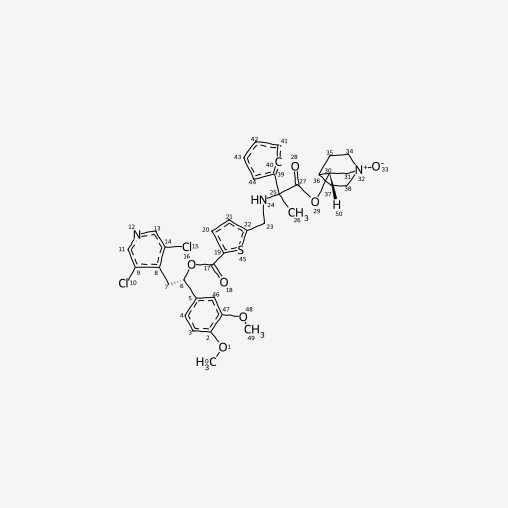 COc1ccc([C@H](Cc2c(Cl)cncc2Cl)OC(=O)c2ccc(CNC(C)(C(=O)O[C@H]3C[N+]4([O-])CCC3CC4)c3ccccc3)s2)cc1OC